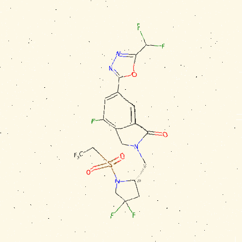 O=C1c2cc(-c3nnc(C(F)F)o3)cc(F)c2CN1C[C@@H]1CC(F)(F)CN1S(=O)(=O)CC(F)(F)F